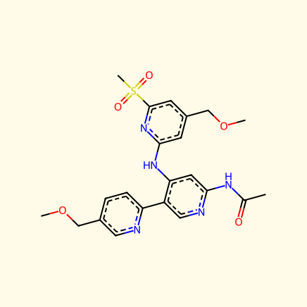 COCc1ccc(-c2cnc(NC(C)=O)cc2Nc2cc(COC)cc(S(C)(=O)=O)n2)nc1